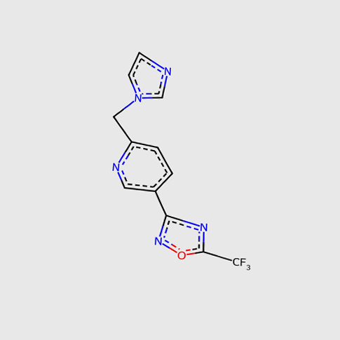 FC(F)(F)c1nc(-c2ccc(Cn3ccnc3)nc2)no1